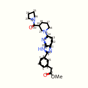 COC(=O)Cc1cccc(-c2nc3ccc(N4CCCC(C(=O)N5CCCC5)C4)nc3[nH]2)c1